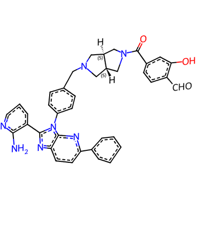 Nc1ncccc1-c1nc2ccc(-c3ccccc3)nc2n1-c1ccc(CN2C[C@H]3CN(C(=O)c4ccc(C=O)c(O)c4)C[C@@H]3C2)cc1